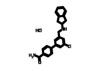 Cl.NC(=O)c1ccc(-c2cc(Cl)cc(CNC3Cc4ccccc4C3)c2)cc1